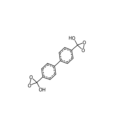 OC1(c2ccc(-c3ccc(C4(O)OO4)cc3)cc2)OO1